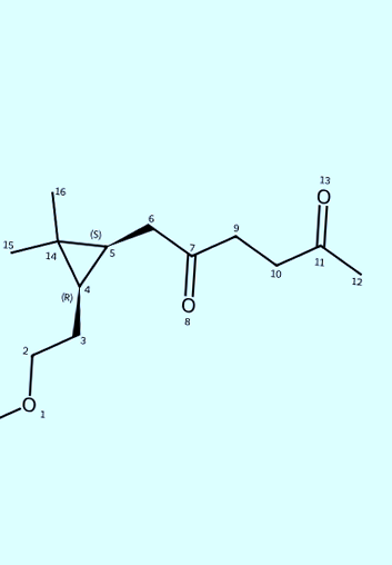 COCC[C@@H]1[C@H](CC(=O)CCC(C)=O)C1(C)C